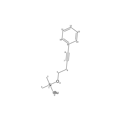 CC(C)(C)[Si](C)(C)OCCC#Cc1ccccc1